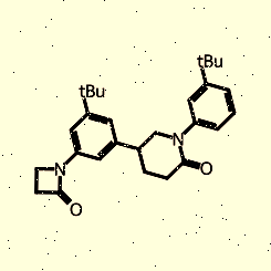 CC(C)(C)c1cc(C2CCC(=O)N(c3cccc(C(C)(C)C)c3)C2)cc(N2CCC2=O)c1